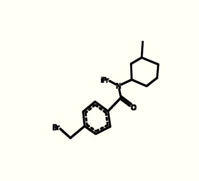 CC1CCCC(N(C(=O)c2ccc(CBr)cc2)C(C)C)C1